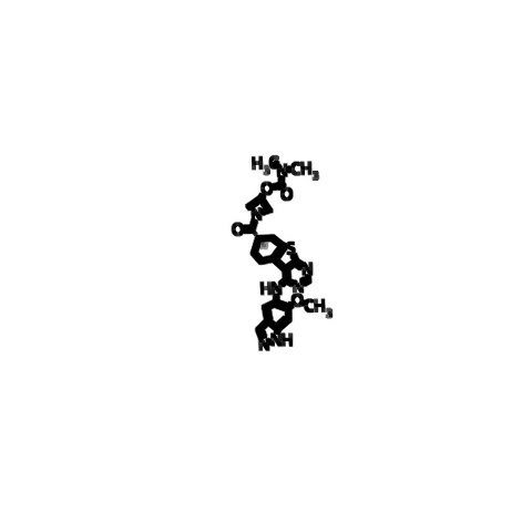 COc1cc2[nH]ncc2cc1Nc1ncnc2sc3c(c12)CC[C@H](C(=O)N1CC(OC(=O)N(C)C)C1)C3